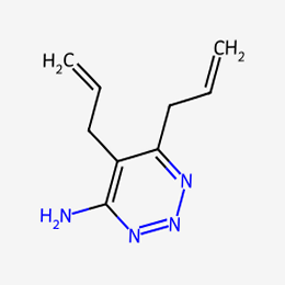 C=CCc1nnnc(N)c1CC=C